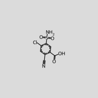 N#Cc1cc(Cl)c(S(N)(=O)=O)cc1C(=O)O